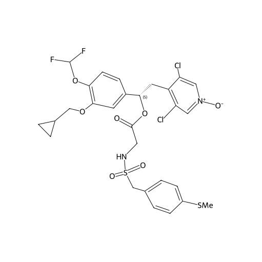 CSc1ccc(CS(=O)(=O)NCC(=O)O[C@@H](Cc2c(Cl)c[n+]([O-])cc2Cl)c2ccc(OC(F)F)c(OCC3CC3)c2)cc1